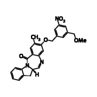 COCc1cc(COc2cc3c(cc2C)C(=O)N2c4ccccc4C[C@H]2C=N3)cc([N+](=O)[O-])c1